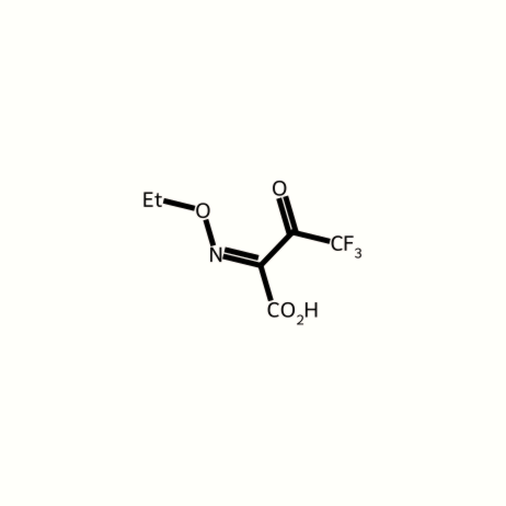 CCON=C(C(=O)O)C(=O)C(F)(F)F